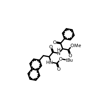 COC(=O)C(NC(=O)C(Cc1ccc2ccccc2c1)NC(=O)OC(C)(C)C)C(=O)c1ccccc1